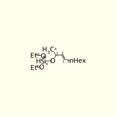 CCCCCCC=CC(C)O[SiH](OCC)OCC